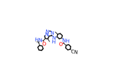 Cc1ccc(NC(=O)c2ccc(C#N)cc2)cc1Nc1ncnn2cc(C(=O)N[C@@H](C)c3ccccc3)c(C)c12